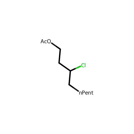 CCCCCCC(Cl)CCOC(C)=O